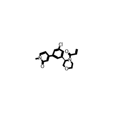 C=CC(=O)N1CCOC[C@H]1c1cc(Cl)cc(-c2ccn(C)c(=O)c2)c1